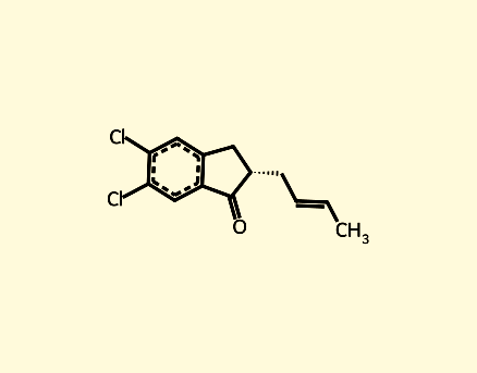 CC=CC[C@H]1Cc2cc(Cl)c(Cl)cc2C1=O